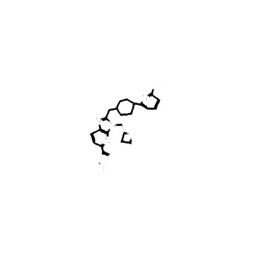 COC(=O)c1ccc2nc(CC3CCC(c4cccc(O)n4)CC3)n(C[C@@H]3CCO3)c2n1